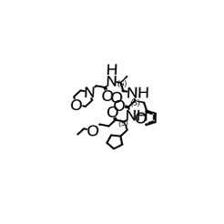 CCOCCC(=O)[C@H](CC1CCCC1)NC(=O)[C@H](Cc1ccco1)NC(=O)[C@H](C)NC(=O)CN1CCOCC1